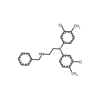 Cc1ccc(B(CCNCc2ccccc2)c2ccc(C)c(Cl)c2)cc1Cl